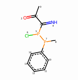 CC(=O)C(=N)P(Cl)P(C)c1ccccc1